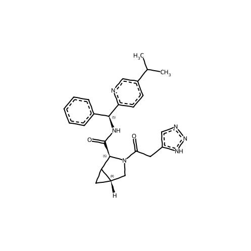 CC(C)c1ccc([C@@H](NC(=O)[C@@H]2C3C[C@H]3CN2C(=O)Cc2cnn[nH]2)c2ccccc2)nc1